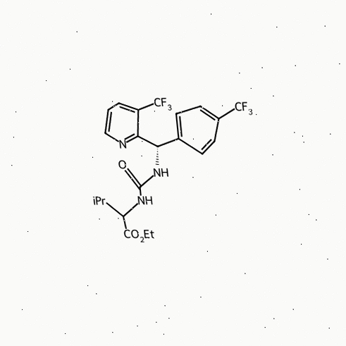 CCOC(=O)C(NC(=O)N[C@@H](c1ccc(C(F)(F)F)cc1)c1ncccc1C(F)(F)F)C(C)C